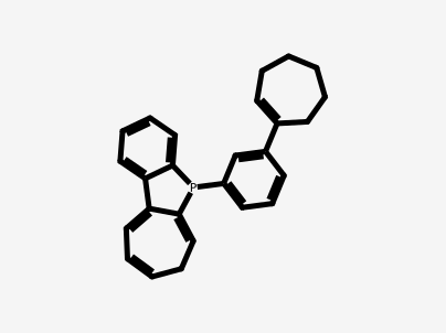 C1=CCC=c2c(c3ccccc3p2-c2cccc(C3=CCCCCC3)c2)=C1